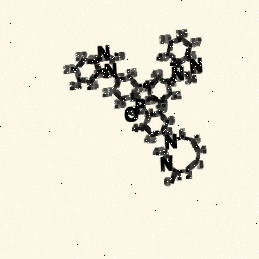 C=C1/C=C\C=C/CN(c2ccc(P(=O)(c3ccc(-n4cnc5ccccc54)cc3)c3ccc(-n4cnc5ccccc54)cc3)cc2)/C=N\1